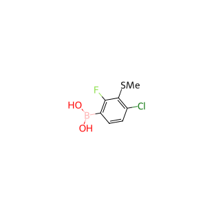 CSc1c(Cl)ccc(B(O)O)c1F